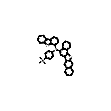 C[Si](C)(C)c1ccc(N(c2cc3c4cc5ccccc5cc4sc3c3ccccc23)c2cccc3c2oc2ccccc23)cc1